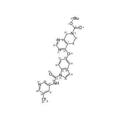 CC(C)(C)OC(=O)N1CCc2c(ncnc2Oc2ccc3c(ccn3C(=O)Nc3cncc(C(F)(F)F)c3)c2)C1